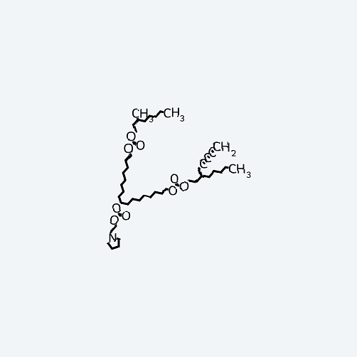 C=C=C=C=CC(CCCCC)CCOC(=O)OCCCCCCCCC(CCCCCCCCOC(=O)OCCC(C)CCCCC)OC(=O)OCCN1CCCC1